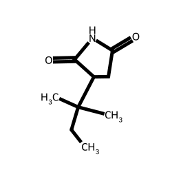 CCC(C)(C)C1CC(=O)NC1=O